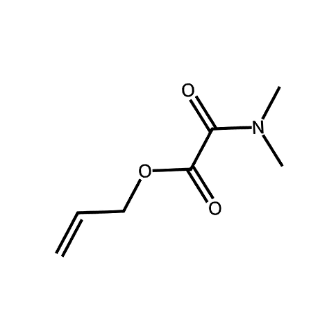 C=CCOC(=O)C(=O)N(C)C